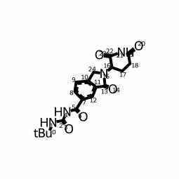 CC(C)(C)NC(=O)NC(=O)c1ccc2c(c1)C(=O)N(C1CCC(=O)NC1=O)C2